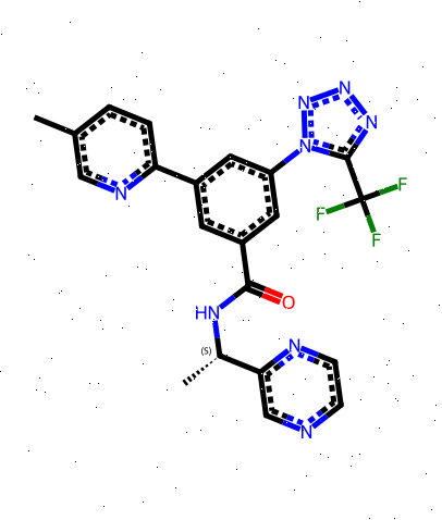 Cc1ccc(-c2cc(C(=O)N[C@@H](C)c3cnccn3)cc(-n3nnnc3C(F)(F)F)c2)nc1